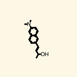 CC(O)/C=C/c1ccc2cc(N(C)C)ccc2c1